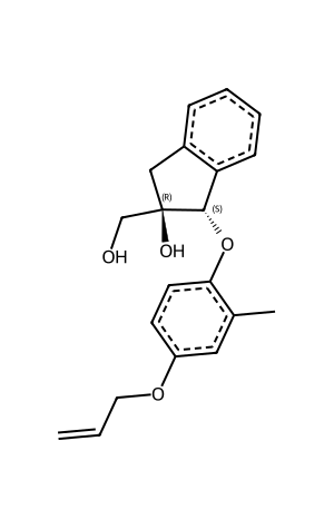 C=CCOc1ccc(O[C@H]2c3ccccc3C[C@@]2(O)CO)c(C)c1